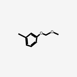 COCOc1[c]ccc(C)c1